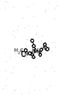 C=C1/C=C\C=C/CN(c2ccc3c(c2)c2ccccc2n3-c2cc(-n3c4ccccc4c4cc(-n5c6ccccc6c6ccccc65)ccc43)nc(-c3ccc(-c4ccccc4)cc3)n2)c2ccccc21